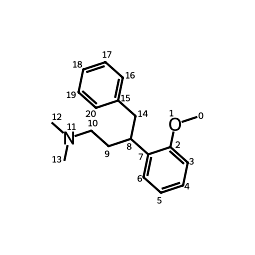 COc1ccccc1C(CCN(C)C)Cc1ccccc1